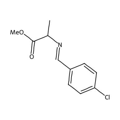 COC(=O)C(C)N=Cc1ccc(Cl)cc1